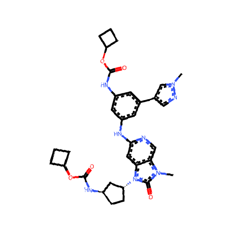 Cn1cc(-c2cc(NC(=O)OC3CCC3)cc(Nc3cc4c(cn3)n(C)c(=O)n4[C@@H]3CC[C@@H](NC(=O)OC4CCC4)C3)c2)cn1